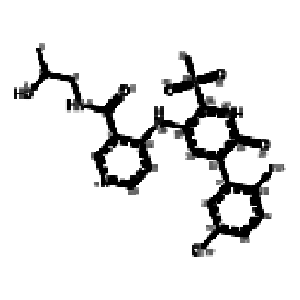 CC(O)CNC(=O)c1cnccc1Nc1cc(-c2cc(Cl)ccc2F)c(=O)[nH]c1S(C)(=O)=O